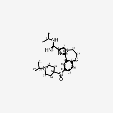 CC(C)NC(=N)c1cn2c(n1)-c1cc([S+]([O-])C3CCN(C(C)C)CC3)ccc1OCC2